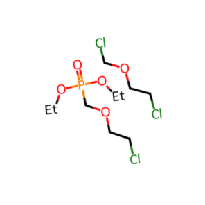 CCOP(=O)(COCCCl)OCC.ClCCOCCl